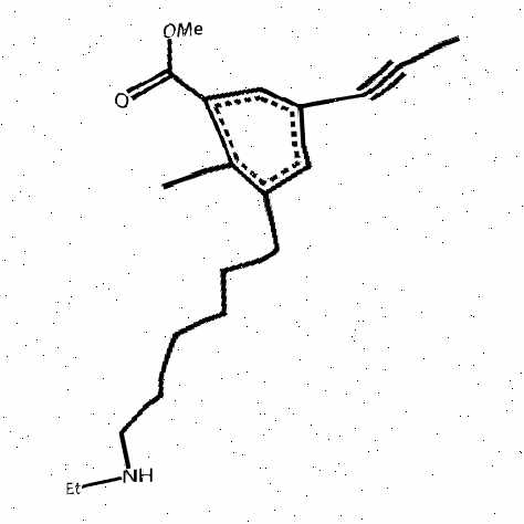 CC#Cc1cc(CCCCCCNCC)c(C)c(C(=O)OC)c1